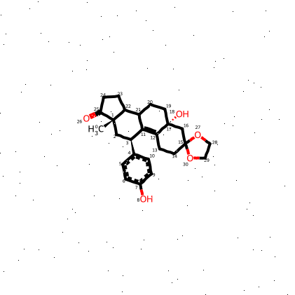 C[C@]12C[C@H](c3ccc(O)cc3)C3=C4CCC5(C[C@]4(O)CCC3C1CCC2=O)OCCO5